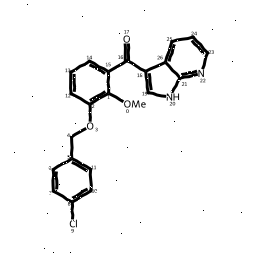 COc1c(OCc2ccc(Cl)cc2)cccc1C(=O)c1c[nH]c2ncccc12